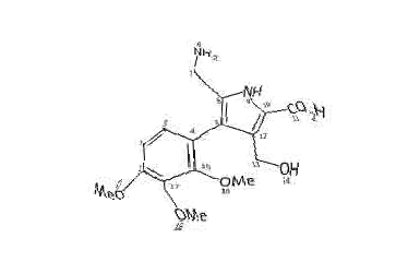 COc1ccc(-c2c(CN)[nH]c(C(=O)O)c2CO)c(OC)c1OC